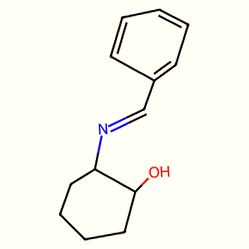 OC1CCCCC1N=Cc1ccccc1